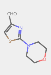 O=Cc1csc(N2CCOCC2)n1